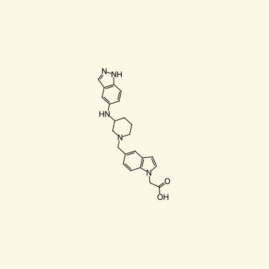 O=C(O)Cn1ccc2cc(CN3CCCC(Nc4ccc5[nH]ncc5c4)C3)ccc21